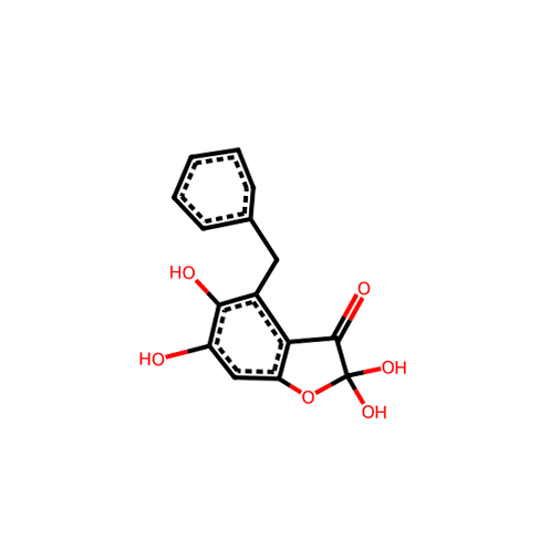 O=C1c2c(cc(O)c(O)c2Cc2ccccc2)OC1(O)O